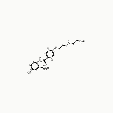 COCCOCCCSc1cnc(C(=O)Nc2ccc(Cl)cc2C(=O)O)cn1